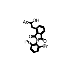 CC(=O)C(O)Cc1cccc2c1C(=O)N(c1c(C(C)C)cccc1C(C)C)C2=O